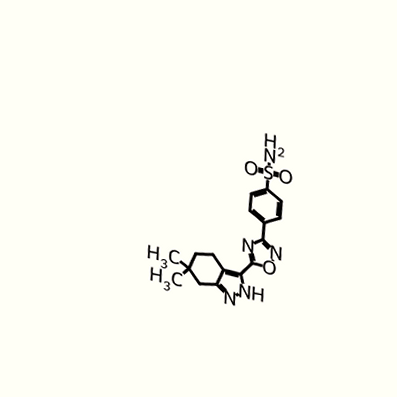 CC1(C)CCc2c(n[nH]c2-c2nc(-c3ccc(S(N)(=O)=O)cc3)no2)C1